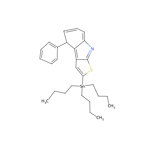 CCC[CH2][Sn]([CH2]CCC)([CH2]CCC)[c]1cc2c(s1)=NC1=CC=CC(c3ccccc3)C=21